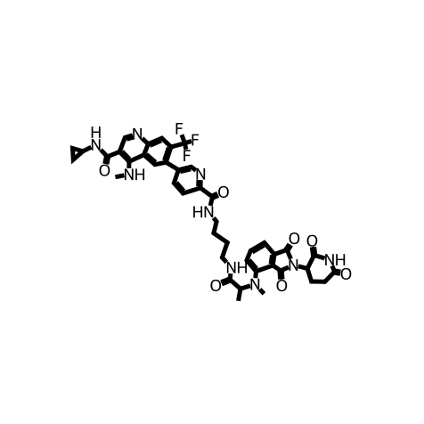 CNc1c(C(=O)NC2CC2)cnc2cc(C(F)(F)F)c(-c3ccc(C(=O)NCCCCNC(=O)C(C)N(C)c4cccc5c4C(=O)N(C4CCC(=O)NC4=O)C5=O)nc3)cc12